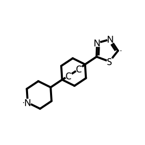 [c]1nnc(C23CCC(C4CC[N]CC4)(CC2)CC3)s1